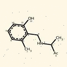 CC(=O)C(C)NCc1c(C)cccc1O